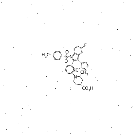 Cc1ccc(S(=O)(=O)n2c(-c3cccc(N4CC[C@@H](C(=O)O)C[C@H]4C)c3)c(-c3ccsc3C#N)c3cc(F)ccc32)cc1